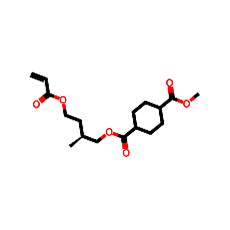 C=CC(=O)OCC[C@H](C)COC(=O)C1CCC(C(=O)OC)CC1